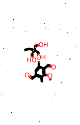 CCC(CO)(CO)CO.COc1c(C)c(C=O)cc(C)c1C=O